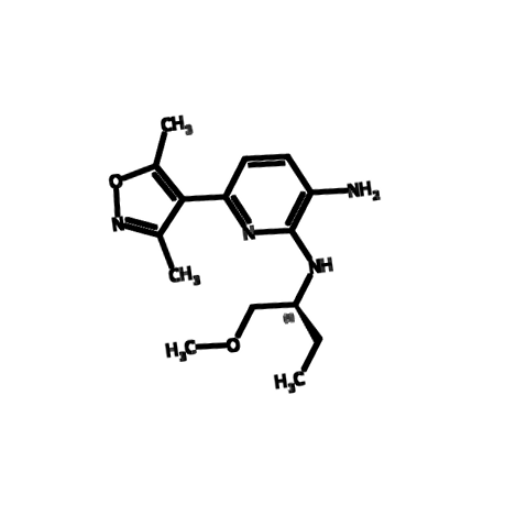 CC[C@@H](COC)Nc1nc(-c2c(C)noc2C)ccc1N